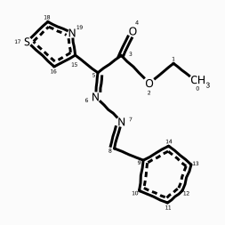 CCOC(=O)C(=NN=Cc1ccccc1)c1cscn1